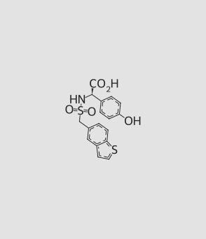 O=C(O)[C@H](NS(=O)(=O)Cc1ccc2sccc2c1)c1ccc(O)cc1